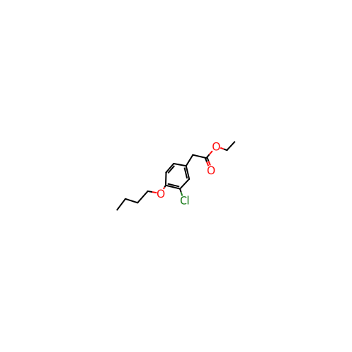 CCCCOc1ccc(CC(=O)OCC)cc1Cl